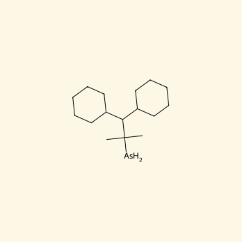 CC(C)([AsH2])C(C1CCCCC1)C1CCCCC1